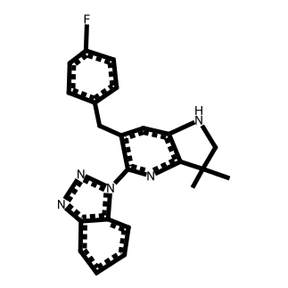 CC1(C)CNc2cc(Cc3ccc(F)cc3)c(-n3nnc4ccccc43)nc21